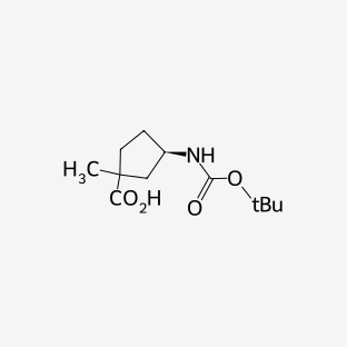 CC(C)(C)OC(=O)N[C@@H]1CCC(C)(C(=O)O)C1